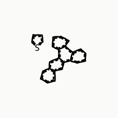 c1ccc2cc3c4ccccc4c4ccccc4c3cc2c1.c1ccsc1